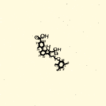 Cc1cc(C)c(C)c(OCCCc2c(C(=O)O)[nH]c3c(-c4ccc(C(=O)O)cc4C)cccc23)c1